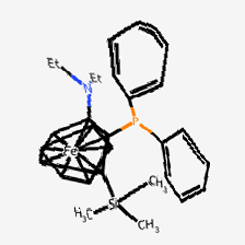 CCN(CC)[C]12[CH]3[CH]4[C]5([Si](C)(C)C)[C]1(P(c1ccccc1)c1ccccc1)[Fe]34251678[CH]2[CH]1[CH]6[CH]7[CH]28